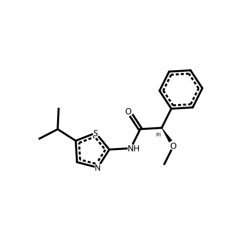 CO[C@@H](C(=O)Nc1ncc(C(C)C)s1)c1ccccc1